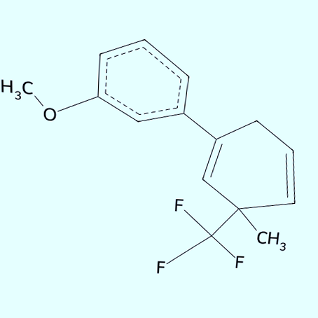 COc1cccc(C2=CC(C)(C(F)(F)F)C=CC2)c1